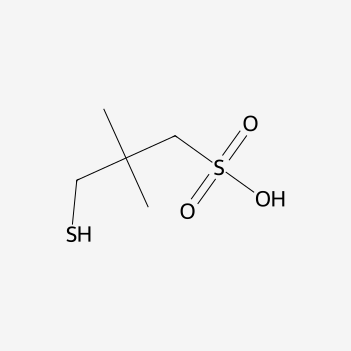 CC(C)(CS)CS(=O)(=O)O